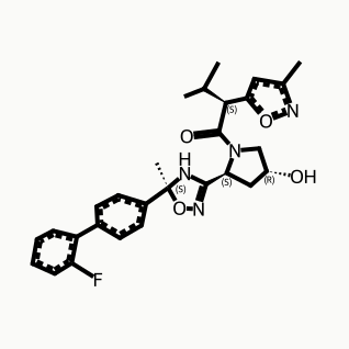 Cc1cc([C@@H](C(=O)N2C[C@H](O)C[C@H]2C2=NO[C@@](C)(c3ccc(-c4ccccc4F)cc3)N2)C(C)C)on1